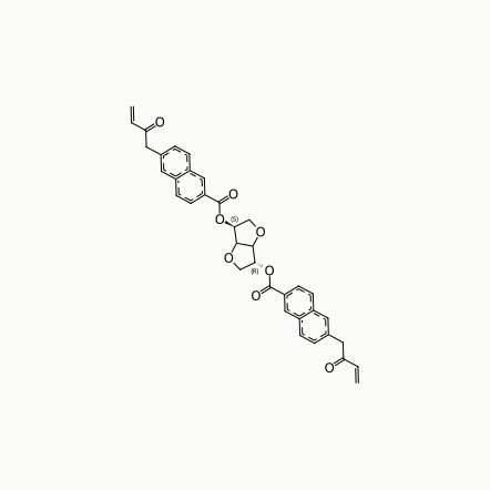 C=CC(=O)Cc1ccc2cc(C(=O)O[C@H]3COC4C3OC[C@H]4OC(=O)c3ccc4cc(CC(=O)C=C)ccc4c3)ccc2c1